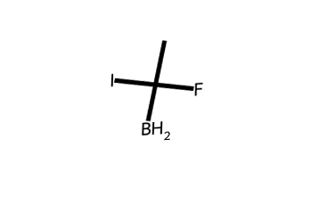 BC(C)(F)I